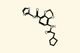 O=C(CC1CCCC1)Nc1ccc(C(=O)Nc2nccs2)c2c1OCCO2